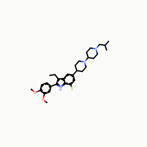 CCc1c(-c2ccc(OC)c(OC)c2)[nH]c2c(F)cc(C3CCN(C4CCN(CC(C)C)CC4)CC3)cc12